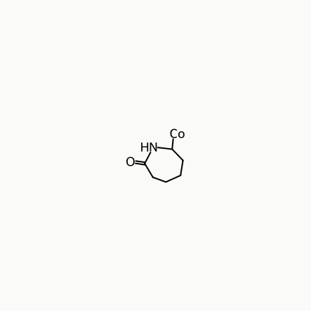 O=C1CCCC[CH]([Co])N1